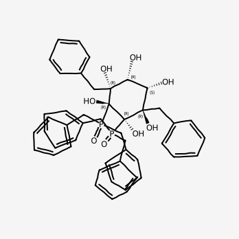 O=P(Cc1ccccc1)(Cc1ccccc1)[C@@]1(O)[C@](O)(P(=O)(Cc2ccccc2)Cc2ccccc2)[C@@](O)(Cc2ccccc2)[C@@H](O)[C@@H](O)[C@]1(O)Cc1ccccc1